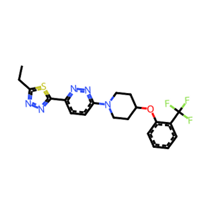 CCc1nnc(-c2ccc(N3CCC(Oc4ccccc4C(F)(F)F)CC3)nn2)s1